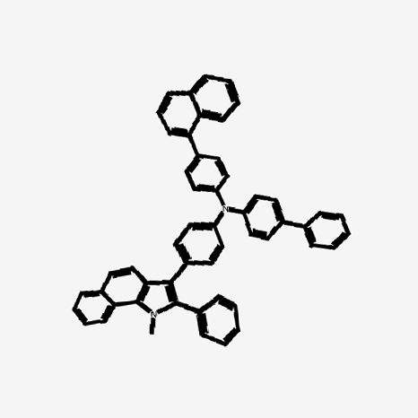 Cn1c(-c2ccccc2)c(-c2ccc(N(c3ccc(-c4ccccc4)cc3)c3ccc(-c4cccc5ccccc45)cc3)cc2)c2ccc3ccccc3c21